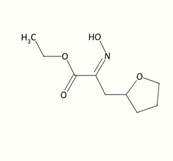 CCOC(=O)C(CC1CCCO1)=NO